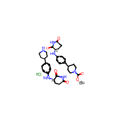 CC(C)(C)OC(=O)N1CCC(c2ccc(N[C@@H]3CCC(=O)NC3=O)cc2)CC1.Cl.O=C1CC[C@@H](Nc2ccc(C3CCNCC3)cc2)C(=O)N1